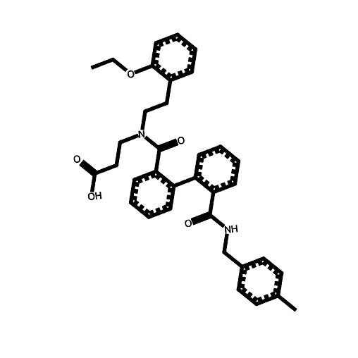 CCOc1ccccc1CCN(CCC(=O)O)C(=O)c1ccccc1-c1ccccc1C(=O)NCc1ccc(C)cc1